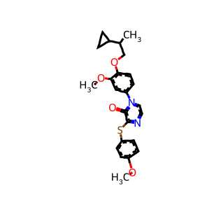 COc1ccc(Sc2nccn(-c3ccc(OCC(C)C4CC4)c(OC)c3)c2=O)cc1